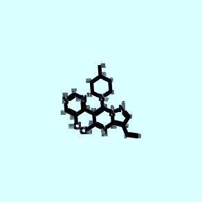 C=Cc1cnn2c(N3CCC(C)CC3)c(-c3ncncc3Cl)c(Cl)nc12